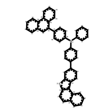 c1ccc(N(c2ccc(-c3ccc4c(c3)sc3ccc5ccccc5c34)cc2)c2ccc(-c3cc4ccccc4c4ccccc34)cc2)cc1